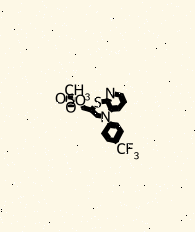 CS(=O)(=O)OCC1CN(c2ccc(C(F)(F)F)cc2)c2cccnc2S1